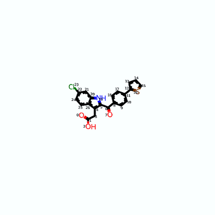 O=C(O)Cc1c(C(=O)c2ccc(-c3cccs3)cc2)[nH]c2cc(Cl)ccc12